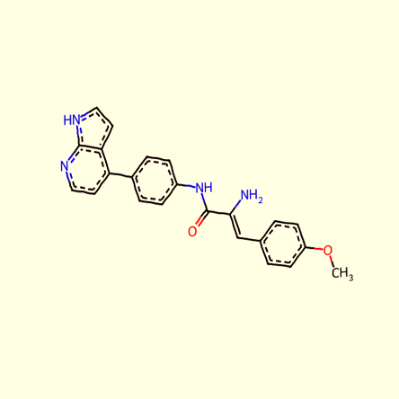 COc1ccc(C=C(N)C(=O)Nc2ccc(-c3ccnc4[nH]ccc34)cc2)cc1